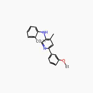 CCOc1cccc(-c2cc(C)c(Nc3ccccc3C(=O)O)cn2)c1